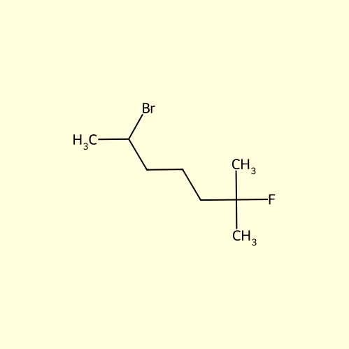 CC(Br)CCCC(C)(C)F